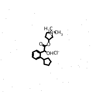 C[N+]1(C)CCC(OC(=O)C(O)c2ccccc2C2CCCC2)C1.[Cl-]